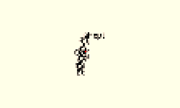 CCCCCCCC1CCC(C2CCC3(CC2)C(=O)C2(CCC(C4CCC(CC)CC4)CC2)C3(Cl)Cl)CC1